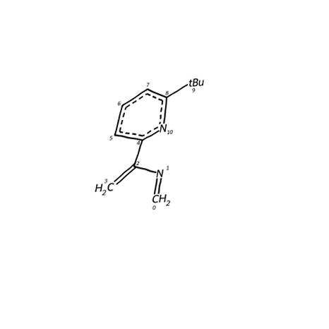 C=NC(=C)c1cccc(C(C)(C)C)n1